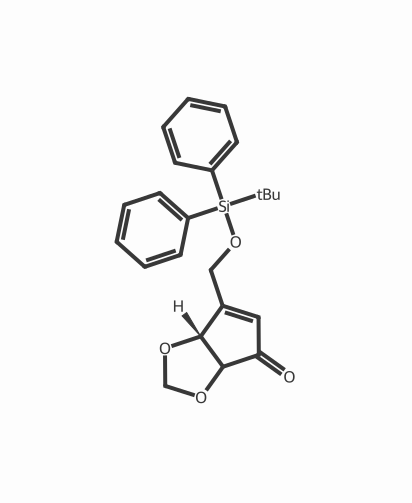 CC(C)(C)[Si](OCC1=CC(=O)C2OCO[C@H]12)(c1ccccc1)c1ccccc1